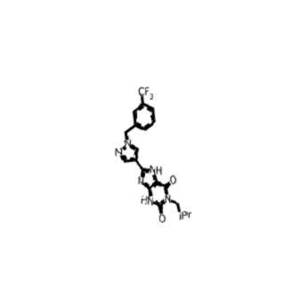 CC(C)Cn1c(=O)[nH]c2nc(-c3cnn(Cc4cccc(C(F)(F)F)c4)c3)[nH]c2c1=O